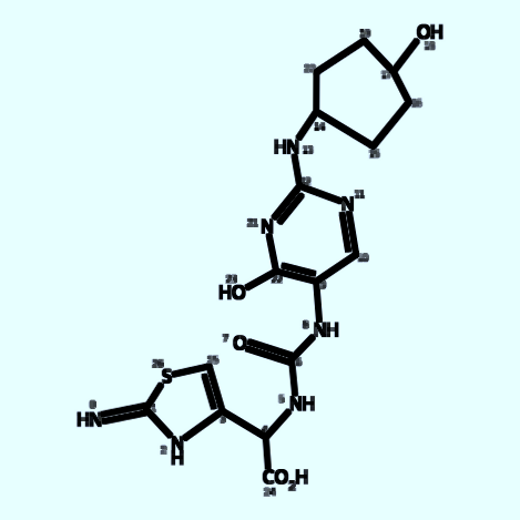 N=c1[nH]c(C(NC(=O)Nc2cnc(NC3CCC(O)CC3)nc2O)C(=O)O)cs1